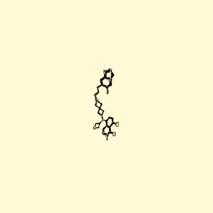 Cn1ncc2c([C@@H](C3COC3)C3CC4(C3)CN(CCCc3cc5nncn5cc3F)C4)ccc(Cl)c2c1=O